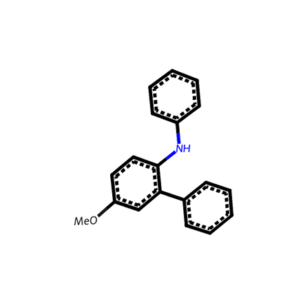 COc1ccc(Nc2ccccc2)c(-c2ccccc2)c1